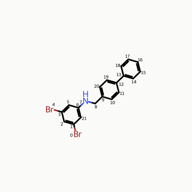 Brc1cc(Br)cc(NCc2ccc(-c3ccccc3)cc2)c1